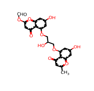 Cc1cc(=O)c2c(OCC(O)COc3cc(O)cc4oc(OC=O)cc(=O)c34)cc(O)cc2o1